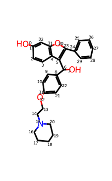 Oc1ccc2c(C(O)c3ccc(OCCN4CCCCC4)cc3)c(-c3ccccc3)oc2c1